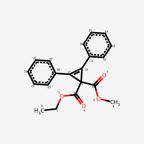 CCOC(=O)C1(C(=O)OC)C(c2ccccc2)=C1c1ccccc1